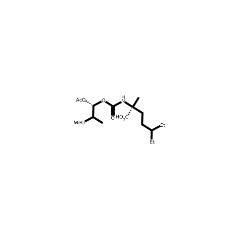 CCC(CC)CC[C@](C)(NC(=O)O[C@@H](OC(C)=O)C(C)OC)C(=O)O